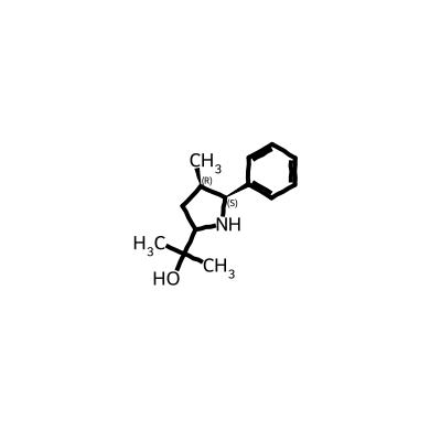 C[C@@H]1CC(C(C)(C)O)N[C@@H]1c1ccccc1